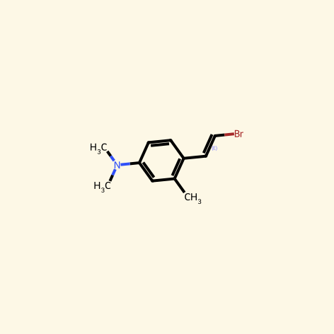 Cc1cc(N(C)C)ccc1/C=C/Br